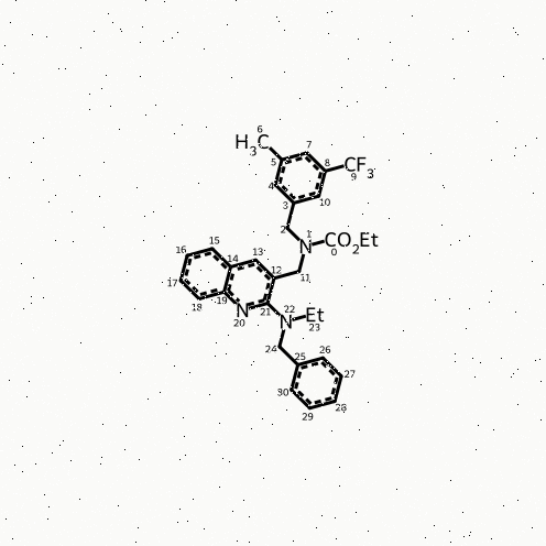 CCOC(=O)N(Cc1cc(C)cc(C(F)(F)F)c1)Cc1cc2ccccc2nc1N(CC)Cc1ccccc1